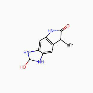 CCCC1C(=O)Nc2cc3c(cc21)NC(O)N3